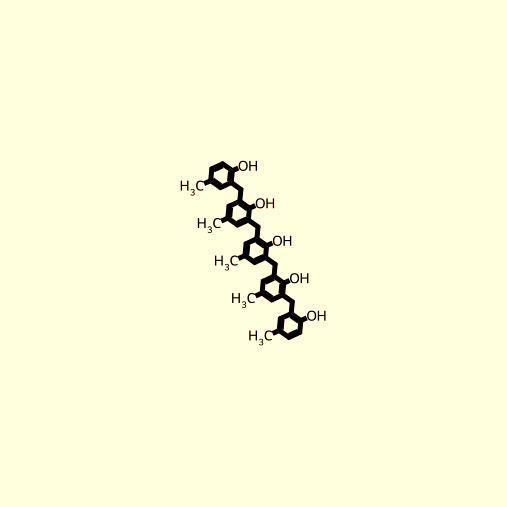 Cc1ccc(O)c(Cc2cc(C)cc(Cc3cc(C)cc(Cc4cc(C)cc(Cc5cc(C)ccc5O)c4O)c3O)c2O)c1